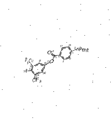 CCCCCc1ccc(C(=O)Oc2cc(C(F)(F)F)c(F)c(C(F)(F)F)c2)cc1